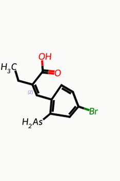 CC/C(=C/c1ccc(Br)cc1[AsH2])C(=O)O